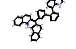 c1cc(-c2ccccc2-c2cccc3cccnc23)cc(-c2c3ccc4ccccc4c3nc3c2ccc2ccccc23)c1